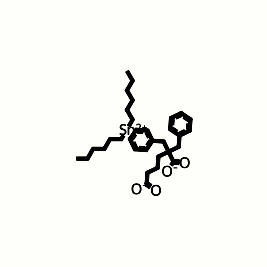 CCCCC[CH2][Sn+2][CH2]CCCCC.O=C([O-])CCCC(Cc1ccccc1)(Cc1ccccc1)C(=O)[O-]